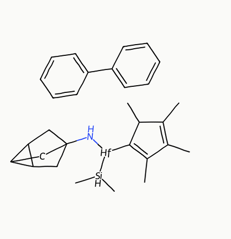 CC1=C(C)C(C)[C]([Hf]([NH]C23CC4C(C2)C4C3)[SiH](C)C)=C1C.c1ccc(-c2ccccc2)cc1